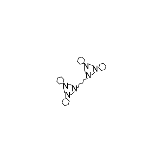 C1CCC(N2CCN(CCCCCN3CCN(C4CCCCC4)CCN(C4CCCCC4)CC3)CCN(C3CCCCC3)CC2)CC1